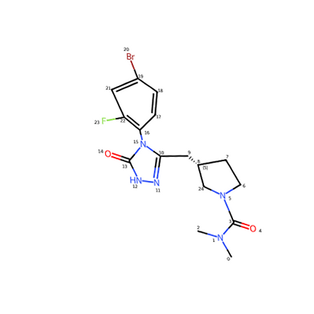 CN(C)C(=O)N1CC[C@@H](Cc2n[nH]c(=O)n2-c2ccc(Br)cc2F)C1